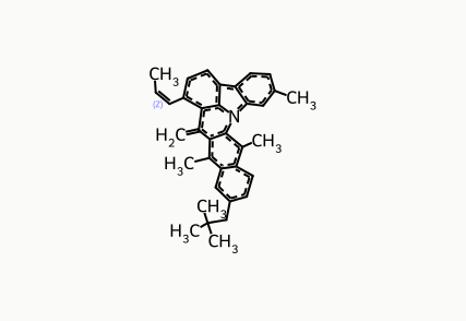 C=c1c2c(C)c3cc(CC(C)(C)C)ccc3c(C)c2n2c3cc(C)ccc3c3ccc(/C=C\C)c1c32